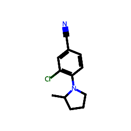 CC1CCCN1c1ccc(C#N)cc1Cl